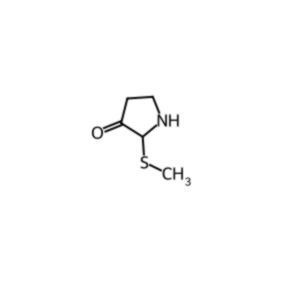 CSC1NCCC1=O